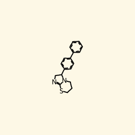 c1ccc(-c2ccc(C3CN=C4SCCCN43)cc2)cc1